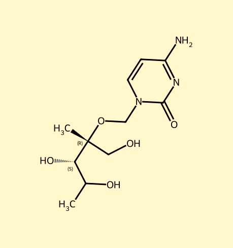 CC(O)[C@H](O)[C@@](C)(CO)OCn1ccc(N)nc1=O